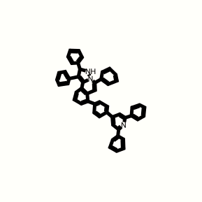 C1=C(c2ccccc2)N2NC(c3ccccc3)C(c3ccccc3)=C2c2cccc(-c3ccc(-c4cc(-c5ccccc5)nc(-c5ccccc5)c4)cc3)c21